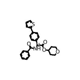 O=C(NN(C(=O)OC1CCOCC1)c1ccc(-c2cccs2)cc1)c1ccccc1